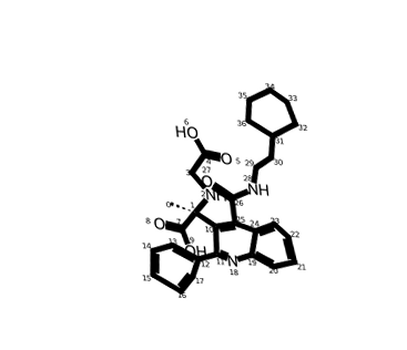 C[C@@](NCC(=O)O)(C(=O)O)c1c(-c2ccccc2)nc2ccccc2c1C(=O)NCCC1CCCCC1